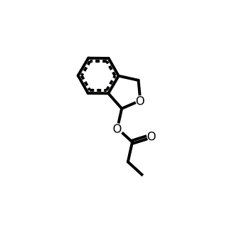 CCC(=O)OC1OCc2ccccc21